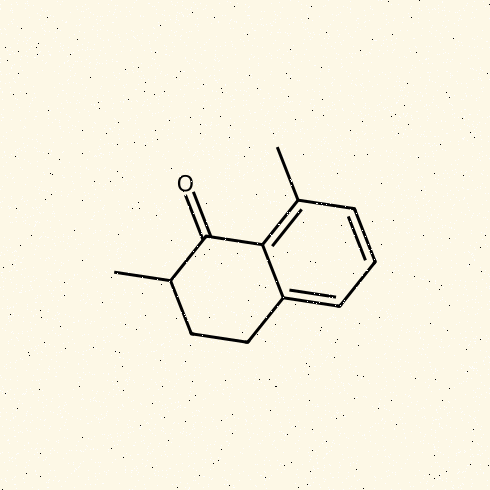 Cc1cccc2c1C(=O)C(C)CC2